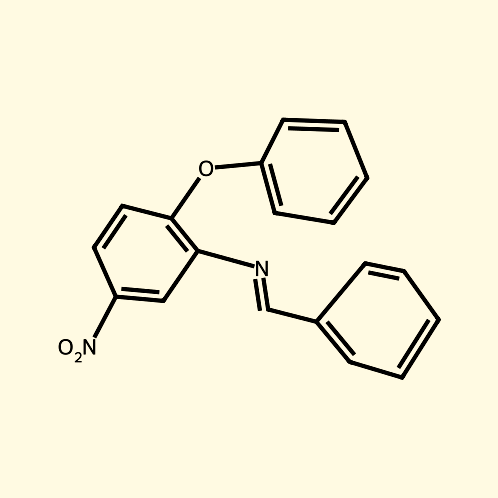 O=[N+]([O-])c1ccc(Oc2ccccc2)c(N=Cc2ccccc2)c1